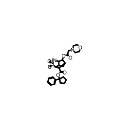 O=C(CN1CCOCC1)OC1C2CC3C1NS(=O)(=O)C3C2C(=O)OC1(c2ccccc2)CCCC1